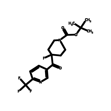 CC(C)(C)OC(=O)N1CCC(F)(C(=O)c2ccc(C(F)(F)F)nc2)CC1